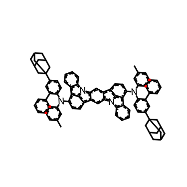 Cc1cccc(N(c2ccc(C34CC5CC(CC(C5)C3)C4)cc2-c2ccccc2)c2ccc3c4cc5c(cc4n4c6ccccc6c2c34)c2ccc(N(c3cccc(C)c3)c3ccc(C46CC7CC(CC(C7)C4)C6)cc3-c3ccccc3)c3c4ccccc4n5c23)c1